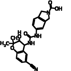 CC1(C)Oc2ccc(C#N)cc2C(NC(=O)Nc2ccc3c(c2)CN(C(=O)O)C3)C1O